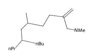 C=C(CCC(C)CC(CCC)CCCC)CNC